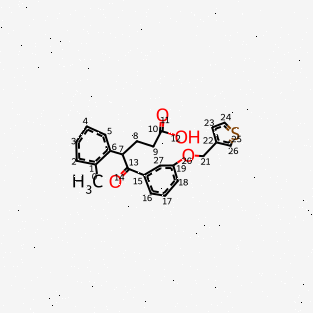 Cc1ccccc1C(CCC(=O)O)C(=O)c1cccc(OCc2ccsc2)c1